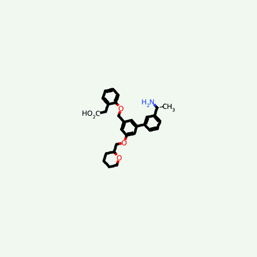 C[C@@H](N)c1cccc(-c2cc(COc3ccccc3CC(=O)O)cc(OCC3CCCCO3)c2)c1